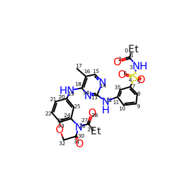 CCC(=O)NS(=O)(=O)c1cccc(Nc2ncc(C)c(Nc3ccc4c(c3)N(C(=O)CC)C(=O)CO4)n2)c1